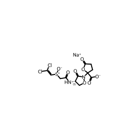 O=C(C[S+]([O-])C=C(Cl)Cl)N[C@H]1CON(C2(C(=O)[O-])CCC(=O)O2)C1=O.[Na+]